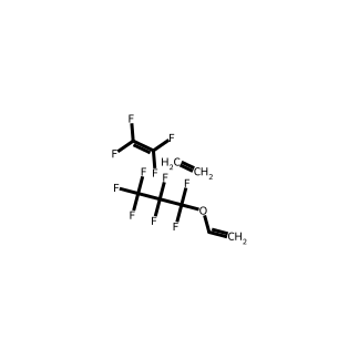 C=C.C=COC(F)(F)C(F)(F)C(F)(F)F.FC(F)=C(F)F